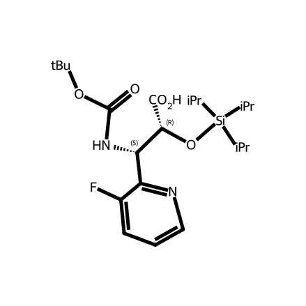 CC(C)[Si](O[C@@H](C(=O)O)[C@@H](NC(=O)OC(C)(C)C)c1ncccc1F)(C(C)C)C(C)C